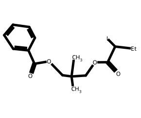 CCC(I)C(=O)OCC(C)(C)COC(=O)c1ccccc1